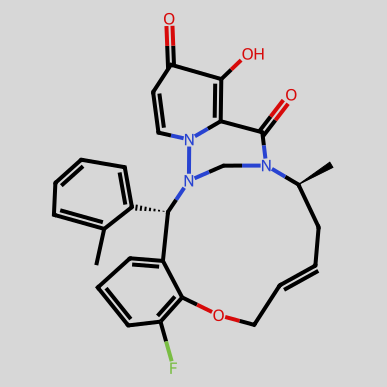 Cc1ccccc1[C@H]1c2cccc(F)c2OC/C=C/C[C@H](C)N2CN1n1ccc(=O)c(O)c1C2=O